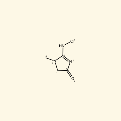 CN1CC(=O)N=C1NCl